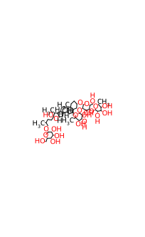 CC1OC(OC2C(CO)OC(O[C@H]3CC[C@@]4(C)C(=CC[C@H]5[C@@H]6C[C@@H]7O[C@](O)(CC[C@H](C)COC8OC(CO)C(O)C(O)C8O)[C@@H](C)[C@@H]7[C@@]6(C)CC[C@@H]54)C3)C(OC3OC(C)C(O)C(O)C3O)C2O)C(O)C(O)C1O